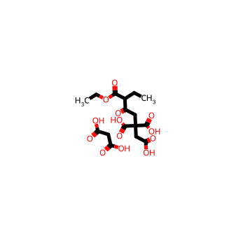 CCOC(=O)C(CC)C(=O)CC(CC(=O)O)(C(=O)O)C(=O)O.O=C(O)CC(=O)O